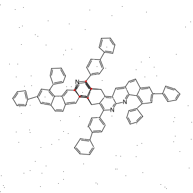 c1ccc(-c2ccc(-c3nc4cc5c(ccc6cc(-c7ccccc7)cc(-c7ccccc7)c65)cc4c4c3C3c5ccccc5C4c4c(-c5ccc(-c6ccccc6)cc5)nc5nc6c(ccc7cc(-c8ccccc8)cc(-c8ccccc8)c76)cc5c43)cc2)cc1